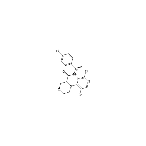 C[C@@H](NC(=O)C1COCCN1c1nc(Cl)ncc1Br)c1ccc(Cl)cc1